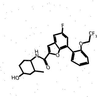 CC1CC(O)CCC1NC(=O)c1cc2cc(F)cc(-c3ccccc3OCC(F)(F)F)c2o1